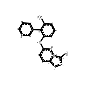 FC(F)(F)c1cccc(Oc2ccc3nnc(Cl)n3n2)c1-c1cccnc1